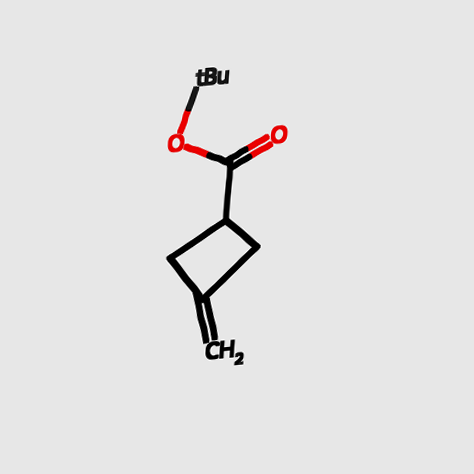 C=C1CC(C(=O)OC(C)(C)C)C1